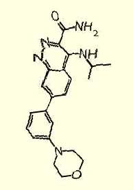 CC(C)Nc1c(C(N)=O)nnc2cc(-c3cccc(N4CCOCC4)c3)ccc12